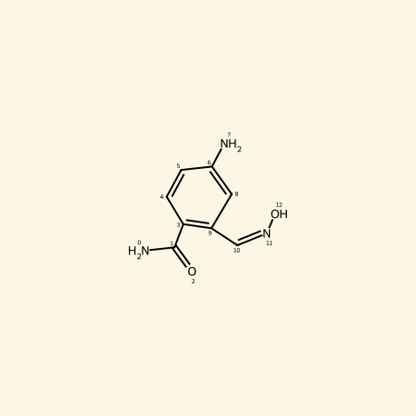 NC(=O)c1ccc(N)cc1/C=N\O